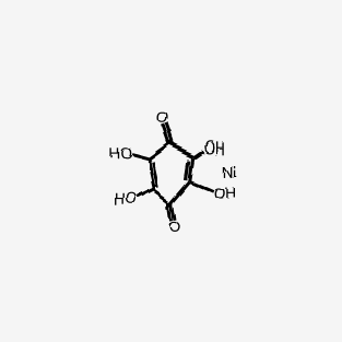 O=C1C(O)=C(O)C(=O)C(O)=C1O.[Ni]